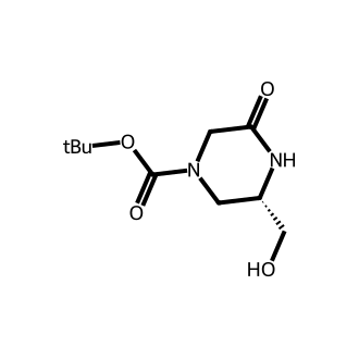 CC(C)(C)OC(=O)N1CC(=O)N[C@H](CO)C1